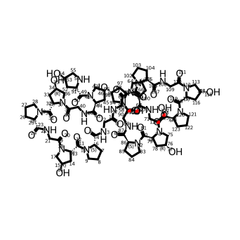 O=C(CNC(=O)[C@@H]1CCCN1C(=O)[C@@H]1C[C@@H](O)CN1C(=O)CNC(=O)[C@@H]1CCCN1C(=O)[C@@H]1C[C@@H](O)CN1C(=O)CNC(=O)[C@@H]1CCCN1C(=O)[C@@H]1C[C@@H](O)CN1)N[C@@H](CS)C(=O)N1CCC[C@H]1C(=O)NCC(=O)N1C[C@H](O)C[C@H]1C(=O)N1CCC[C@H]1C(=O)NCC(=O)N1C[C@H](O)C[C@H]1C(=O)N1CCC[C@H]1C(=O)NCC(=O)N1C[C@H](O)C[C@H]1C(=O)N1CCC[C@H]1C(=O)O